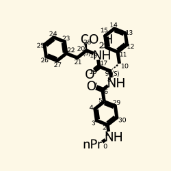 CCCNc1ccc(C(=O)N[C@@H](Cc2ccccc2)C(=O)N[C@@H](Cc2ccccc2)C(=O)O)cc1